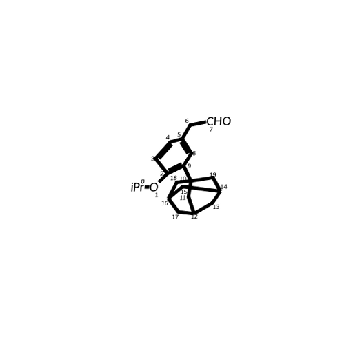 CC(C)Oc1ccc(CC=O)cc1C12CC3CC(CC(C3)C1)C2